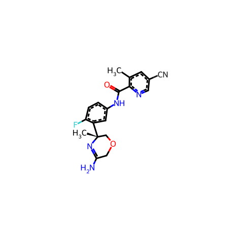 Cc1cc(C#N)cnc1C(=O)Nc1ccc(F)c([C@]2(C)COCC(N)=N2)c1